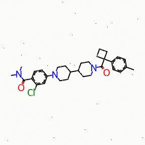 Cc1ccc(C2(C(=O)N3CCC(C4CCN(c5ccc(C(=O)N(C)C)c(Cl)c5)CC4)CC3)CCC2)cc1